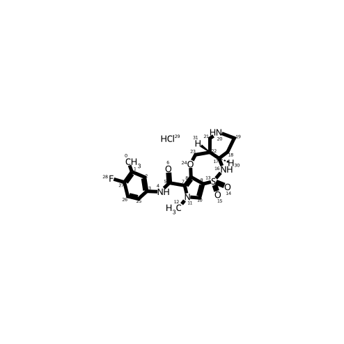 Cc1cc(NC(=O)c2c3c(cn2C)S(=O)(=O)N[C@@H]2CCNC[C@H]2CO3)ccc1F.Cl